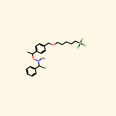 CC(ON(C(c1ccccc1)C(C)C)C(C)(C)C)c1ccc(COCCCCC[Si](Cl)(Cl)Cl)cc1